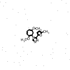 COC1=CC=CC(OC)=C(n2cnnc2-c2ccc(C)o2)C1